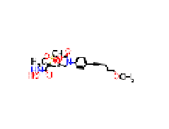 COCCCC#Cc1ccc(N2C[C@H](C[C@](C)(C(=O)NO)S(C)(=O)=O)OC2=O)cc1